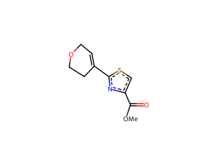 COC(=O)c1csc(C2=CCOCC2)n1